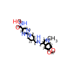 Cn1cc(CNCC2CCN(c3ncc(C(=O)NO)cn3)CC2)c2cc3c(cc21)OCO3